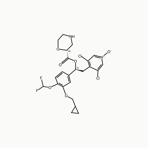 O=C(O[C@@H](Cc1c(Cl)c[n+]([O-])cc1Cl)c1ccc(OC(F)F)c(OCC2CC2)c1)[C@H]1CNCCO1